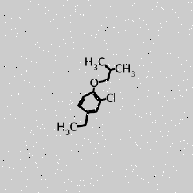 CCc1ccc(OCC(C)C)c(Cl)c1